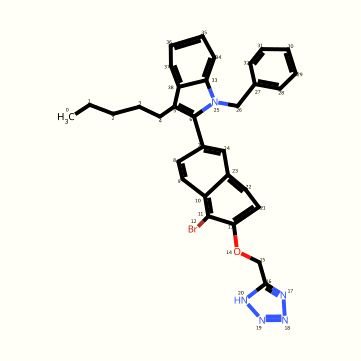 CCCCCc1c(-c2ccc3c(Br)c(OCc4nnn[nH]4)ccc3c2)n(Cc2ccccc2)c2ccccc12